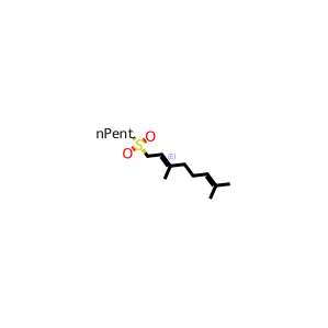 CCCCCS(=O)(=O)C/C=C(\C)CCC=C(C)C